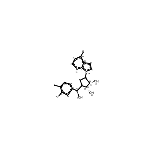 Cc1ccc([C@H](O)C2CC(n3ccc4c(C)ccnc43)[C@H](O)[C@@H]2O)cc1F